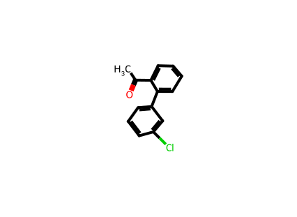 CC(=O)c1ccccc1-c1cccc(Cl)c1